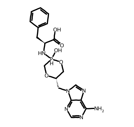 Nc1ncnc2c1ncn2C[C@H]1CO[PH](O)(N[C@@H](Cc2ccccc2)C(=O)O)CO1